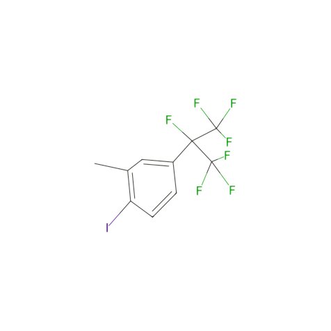 Cc1cc(C(F)(C(F)(F)F)C(F)(F)F)ccc1I